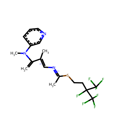 C=C(/C(C)=C/N=C(\C)SCCC(F)(C(F)(F)F)C(F)(F)F)N(C)c1cccnc1